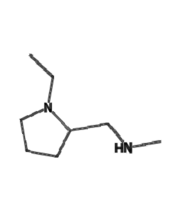 CCN1CCCC1CNC